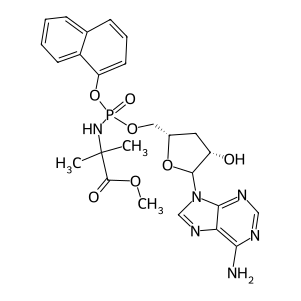 COC(=O)C(C)(C)NP(=O)(OC[C@@H]1C[C@H](O)C(n2cnc3c(N)ncnc32)O1)Oc1cccc2ccccc12